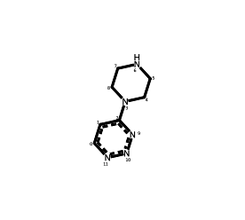 c1cc(N2CCNCC2)nnn1